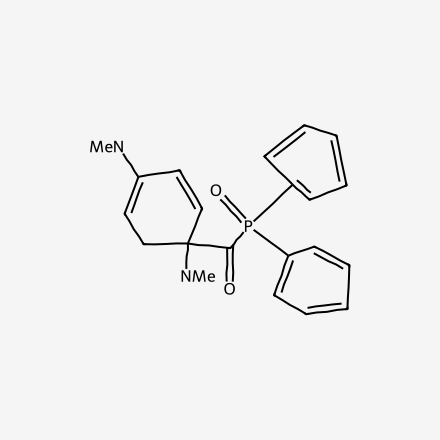 CNC1=CCC(NC)(C(=O)P(=O)(c2ccccc2)c2ccccc2)C=C1